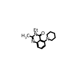 CCn1c(C)nc2cccc(N3CCCCC3)c2c1=O